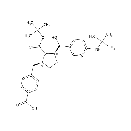 CC(C)(C)Nc1ccc(C(O)[C@H]2CC[C@@H](Cc3ccc(C(=O)O)cc3)N2C(=O)OC(C)(C)C)cn1